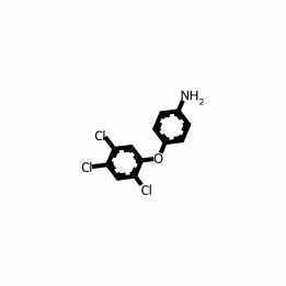 Nc1ccc(Oc2cc(Cl)c(Cl)cc2Cl)cc1